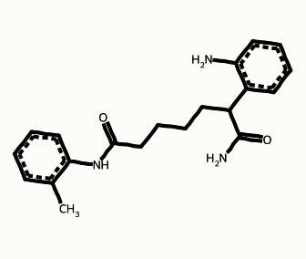 Cc1ccccc1NC(=O)CCCCC(C(N)=O)c1ccccc1N